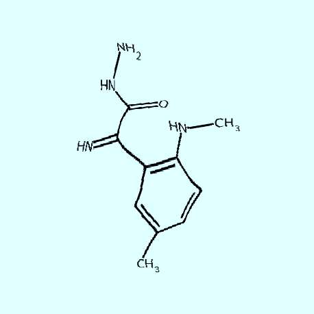 CNc1ccc(C)cc1C(=N)C(=O)NN